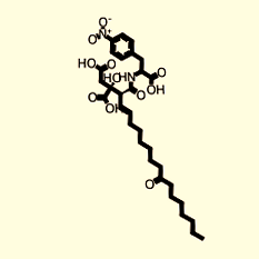 CCCCCCCC(=O)CCCCCC/C=C/[C@H](C(=O)NC(Cc1ccc([N+](=O)[O-])cc1)C(=O)O)[C@@](O)(CC(=O)O)C(=O)O